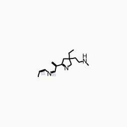 C=C(/C=N\C=C/C)C1=NCC(CC)(CCNC)C1